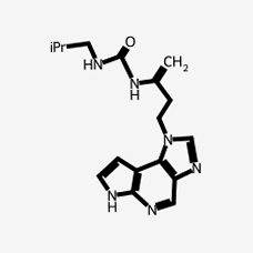 C=C(CCn1cnc2cnc3[nH]ccc3c21)NC(=O)NCC(C)C